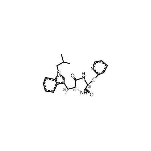 CC(C)Cn1cc([C@@H](C)[C@H]2NC(=O)[C@H](Cc3ccccn3)NC2=O)c2ccccc21